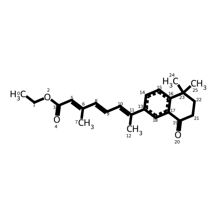 CCOC(=O)/C=C(\C)C=C/C=C(\C)c1ccc2c(c1)C(=O)CCC2(C)C